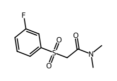 CN(C)C(=O)CS(=O)(=O)c1cccc(F)c1